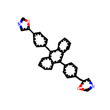 c1ccc2c(-c3ccc(-c4cnco4)cc3)c3ccccc3c(-c3ccc(-c4cnco4)cc3)c2c1